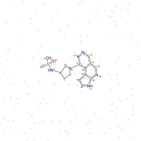 CS(=O)(=O)NC1CCN(c2nncc3cnc4[nH]ccc4c23)C1